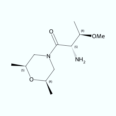 CO[C@H](C)[C@H](N)C(=O)N1C[C@@H](C)O[C@@H](C)C1